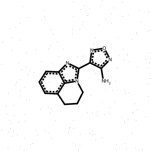 Nc1nonc1-c1nc2cccc3c2n1CCC3